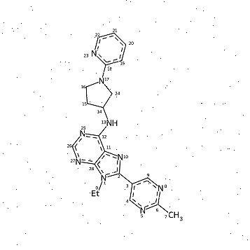 CCn1c(-c2cnc(C)nc2)nc2c(NC3CCN(c4ccccn4)C3)ncnc21